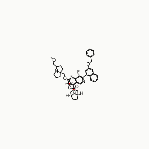 COCC1CCC2(COc3nc(N4C[C@H]5CC[C@@H](C4)N5C(=O)OC(C)(C)C)c4cnc(-c5cc(OCc6ccccc6)cc6ccccc56)c(F)c4n3)CCCN12